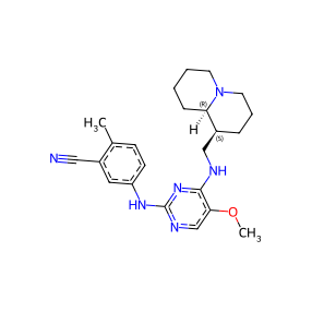 COc1cnc(Nc2ccc(C)c(C#N)c2)nc1NC[C@@H]1CCCN2CCCC[C@H]12